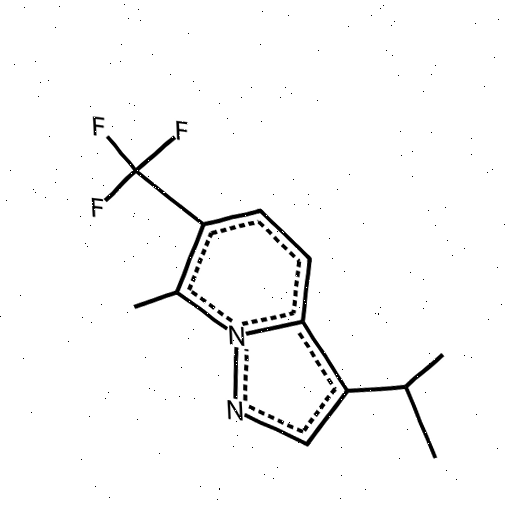 Cc1c(C(F)(F)F)ccc2c(C(C)C)cnn12